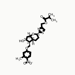 Cc1cc(OC[C@@H]2[C@H]3CC[C@H](c4nc(COC(=O)C(C)C)cs4)O[C@H]3C[C@H]2O)ccc1[N+](=O)[O-]